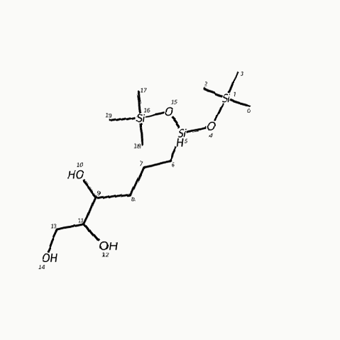 C[Si](C)(C)O[SiH](CCCC(O)C(O)CO)O[Si](C)(C)C